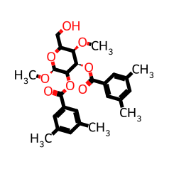 CO[C@@H]1OC(CO)[C@@H](OC)[C@H](OC(=O)c2cc(C)cc(C)c2)C1OC(=O)c1cc(C)cc(C)c1